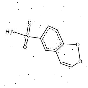 NS(=O)(=O)c1ccc2c(c1)C=COO2